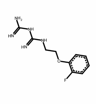 N=C(N)NC(=N)NCCOc1ccccc1F